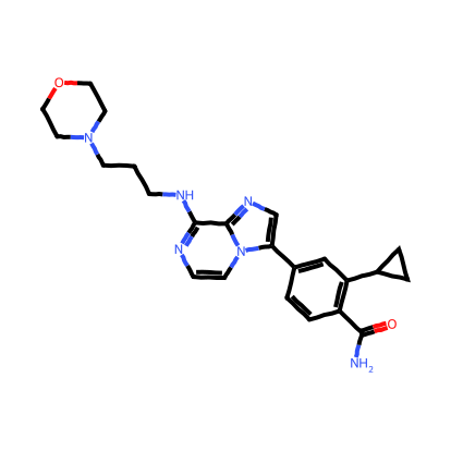 NC(=O)c1ccc(-c2cnc3c(NCCCN4CCOCC4)nccn23)cc1C1CC1